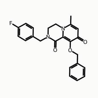 Cc1cc(=O)c(OCc2ccccc2)c2n1CCN(Cc1ccc(F)cc1)C2=O